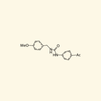 COc1ccc(CNC(=O)Nc2ccc(C(C)=O)cc2)cc1